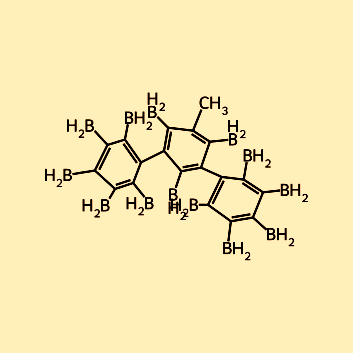 Bc1c(B)c(B)c(-c2c(B)c(C)c(B)c(-c3c(B)c(B)c(B)c(B)c3B)c2B)c(B)c1B